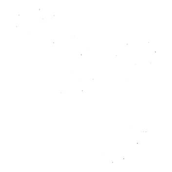 CO[C@H]1C(O)[C@H](O[C@H]2OC(CO)[C@@H](O)C(O)[C@@H]2O)C(CO)O[C@H]1OC1CCC2(C)C(CCC3C2CCC2(C)C(C(C)CCCC(CCCC(C)C4CCC5C6CCC7CC(O[C@H]8OC(CO)[C@H](O[C@@H]9OC(CO)[C@H](O)C(O)[C@H]9O)C(O)[C@H]8O)CCC7(C)C6CCC45C)(CO[C@H]4OC(CO)[C@H](O[C@@H]5OC(CO)[C@H](O)C(O)[C@H]5O)C(O)[C@H]4O)CO[C@@H]4OC(CO)[C@@H](O[C@H]5OC(CO)[C@@H](O)C(O)[C@@H]5O)C(O)[C@@H]4O)CCC32)C1